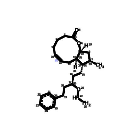 C[C@@H]1C[C@@H]2OC(=O)CCC/C=C\C[C@@H]2[C@H]1CC[C@H](CCc1ccccc1)OPP